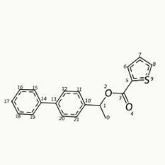 CC(OC(=O)c1cccs1)c1ccc(-c2ccccc2)cc1